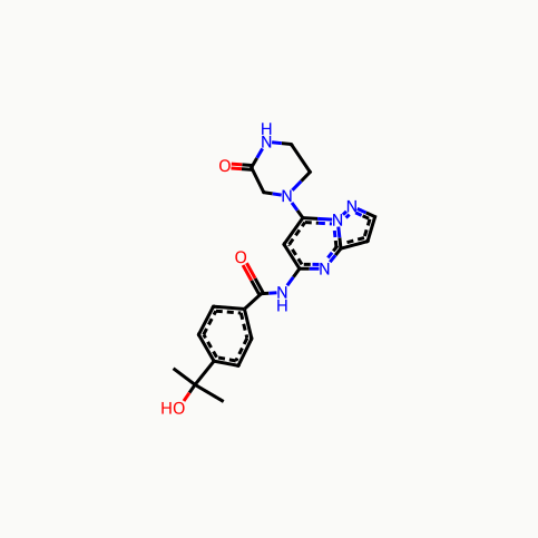 CC(C)(O)c1ccc(C(=O)Nc2cc(N3CCNC(=O)C3)n3nccc3n2)cc1